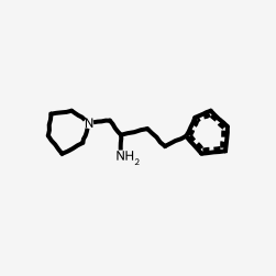 NC(CCc1ccccc1)CN1CCCCC1